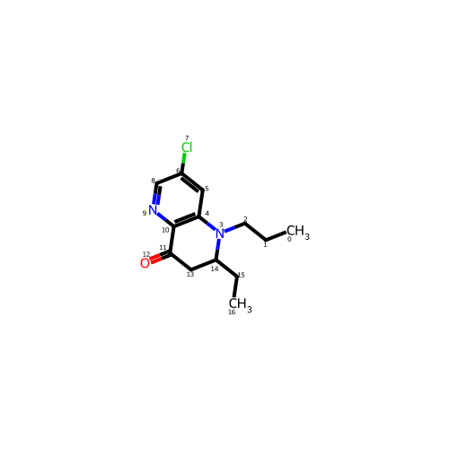 CCCN1c2cc(Cl)cnc2C(=O)CC1CC